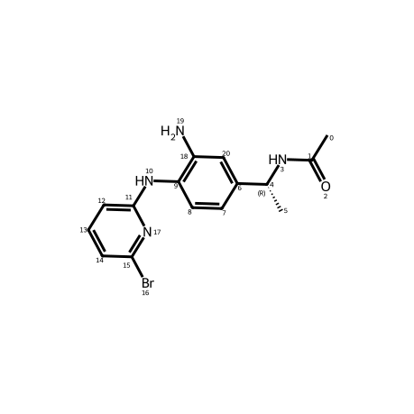 CC(=O)N[C@H](C)c1ccc(Nc2cccc(Br)n2)c(N)c1